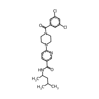 CC(C)CC(C)NC(=O)c1ccc(N2CCN(C(=O)c3cc(Cl)cc(Cl)c3)CC2)nc1